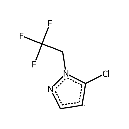 FC(F)(F)Cn1nc[c]c1Cl